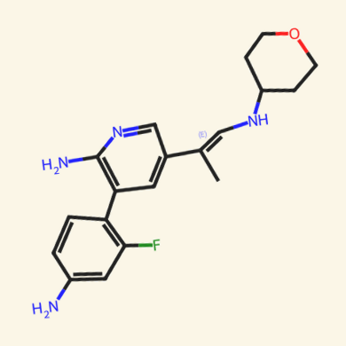 C/C(=C\NC1CCOCC1)c1cnc(N)c(-c2ccc(N)cc2F)c1